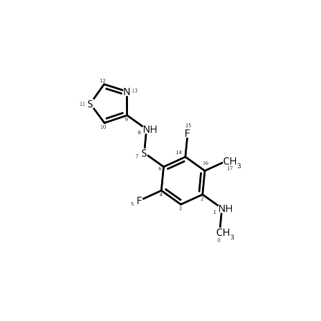 CNc1cc(F)c(SNc2cscn2)c(F)c1C